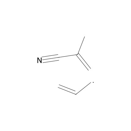 C=C(C)C#N.[CH2]C=C